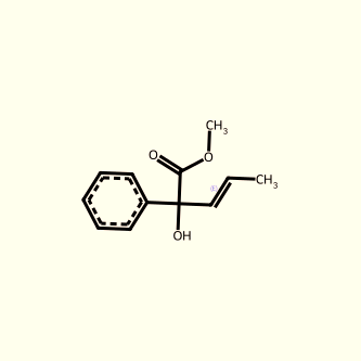 C/C=C/C(O)(C(=O)OC)c1ccccc1